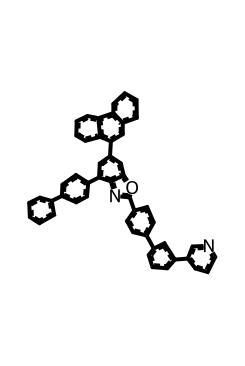 c1ccc(-c2ccc(-c3cc(-c4cc5ccccc5c5ccccc45)cc4oc(-c5ccc(-c6cccc(-c7cccnc7)c6)cc5)nc34)cc2)cc1